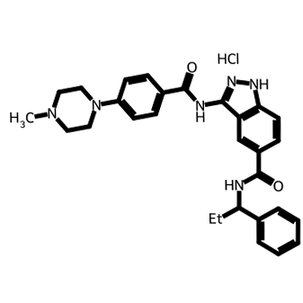 CCC(NC(=O)c1ccc2[nH]nc(NC(=O)c3ccc(N4CCN(C)CC4)cc3)c2c1)c1ccccc1.Cl